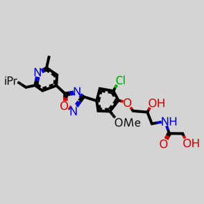 COc1cc(-c2noc(-c3cc(C)nc(CC(C)C)c3)n2)cc(Cl)c1OCC(O)CNC(=O)CO